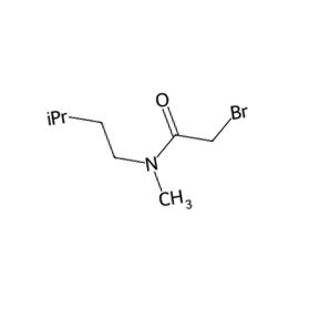 CC(C)CCN(C)C(=O)CBr